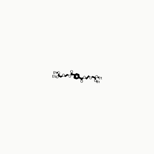 CCOC(COCCOC(=O)c1ccc(C(=O)OCCOCC(OCC)OCC)cc1)OCC